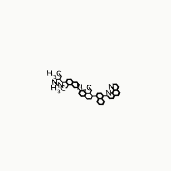 CCc1c(C2=NC=NCC2CC)ccc2ccc(-c3ccc4c(c3)C(CC)C(c3ccc(-c5ccc6ccc7cccnc7c6n5)c5ccccc35)C=C4)cc12